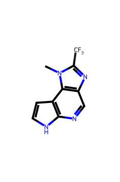 Cn1c(C(F)(F)F)nc2cnc3[nH]ccc3c21